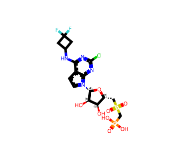 O=P(O)(O)CS(=O)(=O)C[C@H]1O[C@@H](n2ccc3c(NC4CC(F)(F)C4)nc(Cl)nc32)[C@H](O)[C@@H]1O